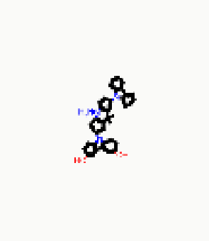 CC1(C)c2cc(-n3c4ccccc4c4ccccc43)ccc2N(N)c2ccc(-n3c4ccc(O)cc4c4cc(O)ccc43)cc21